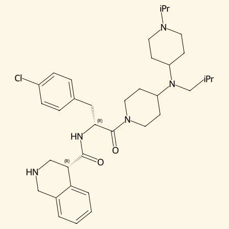 CC(C)CN(C1CCN(C(=O)[C@@H](Cc2ccc(Cl)cc2)NC(=O)[C@H]2CNCc3ccccc32)CC1)C1CCN(C(C)C)CC1